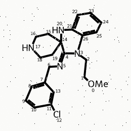 COCCN1/C(=N/Cc2cccc(Cl)c2)C2(CCNCC2)Nc2ccccc21